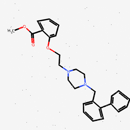 COC(=O)c1ccccc1OCCN1CCN(Cc2ccccc2-c2ccc(Cl)cc2)CC1